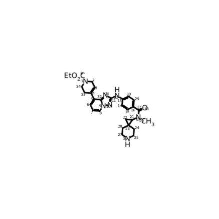 CCOC(=O)N1CC=C(c2cccn3nc(Nc4ccc(C(=O)N(C)C5CC56CCNCC6)cc4)nc23)CC1